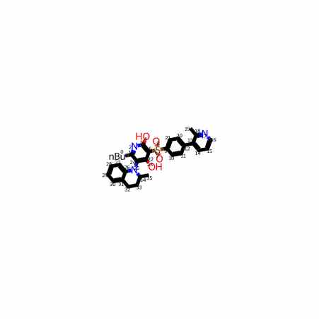 CCCCc1nc(O)c(S(=O)(=O)c2ccc(-c3cccnc3C)cc2)c(O)c1N1c2ccccc2CCC1C